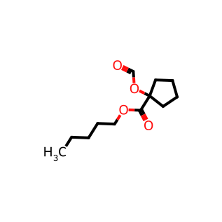 CCCCCOC(=O)C1(OC=O)CCCC1